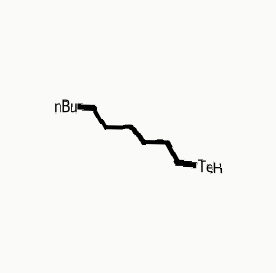 [CH2]CCCCCCCCC[TeH]